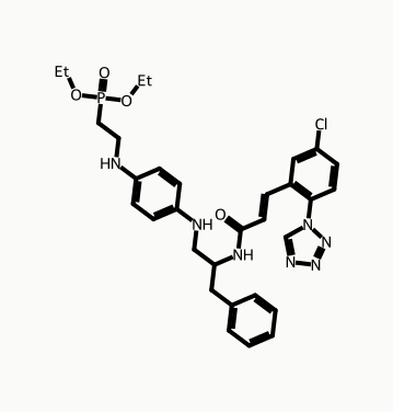 CCOP(=O)(CCNc1ccc(NCC(Cc2ccccc2)NC(=O)C=Cc2cc(Cl)ccc2-n2cnnn2)cc1)OCC